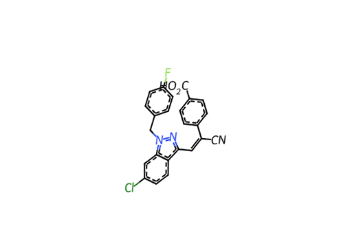 N#CC(=Cc1nn(Cc2ccc(F)cc2)c2cc(Cl)ccc12)c1ccc(C(=O)O)cc1